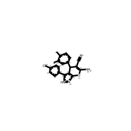 Cc1ccc(C2C(C#N)=C(N)Oc3n[nH]c(-c4ccc(Cl)cc4)c32)cc1C